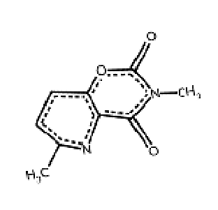 Cc1ccc2oc(=O)n(C)c(=O)c2n1